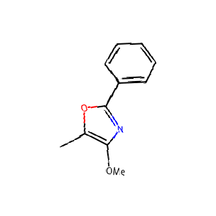 COc1nc(-c2ccccc2)oc1C